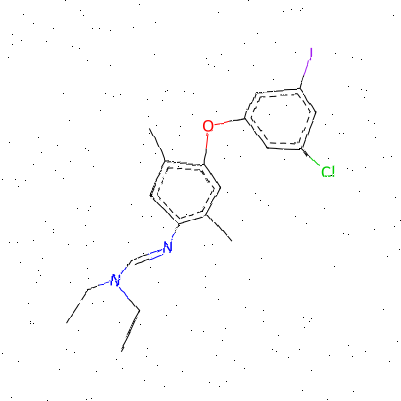 CCN(C=Nc1cc(C)c(Oc2cc(Cl)cc(I)c2)cc1C)CC